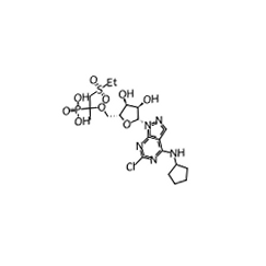 CCS(=O)(=O)CC(C)(OC[C@H]1O[C@@H](n2ncc3c(NC4CCCC4)nc(Cl)nc32)[C@H](O)[C@@H]1O)P(=O)(O)O